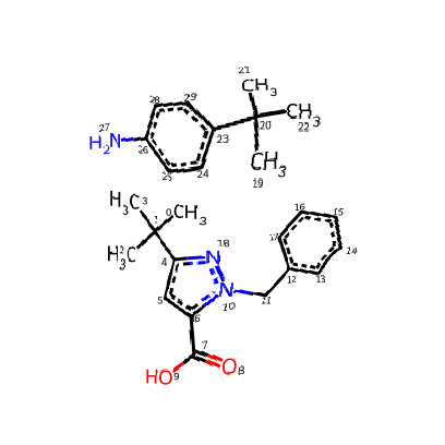 CC(C)(C)c1cc(C(=O)O)n(Cc2ccccc2)n1.CC(C)(C)c1ccc(N)cc1